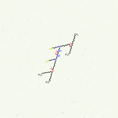 CCCCCCCCC(CCCCCCCC)OC(=O)CCCCCCCN(CCCCCS)CCNC(=O)CC(=O)NCCN(CCCCCS)CCCCCCCC(=O)OC(CCCCCCCC)CCCCCCCC